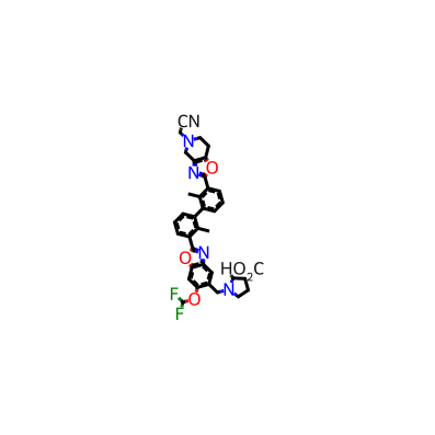 Cc1c(-c2nc3c(o2)CCN(CC#N)C3)cccc1-c1cccc(-c2nc3cc(CN4CCCC4C(=O)O)c(OC(F)F)cc3o2)c1C